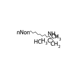 C=CC(C)(C)C(N)CCCCCCCCCCCCCCCCC.Cl